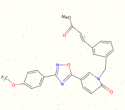 COC(=O)/C=C/c1cccc(Cn2cc(-c3nc(-c4ccc(OC(F)(F)F)cc4)no3)ccc2=O)c1